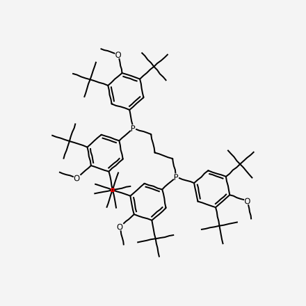 COc1c(C(C)(C)C)cc(P(CCCP(c2cc(C(C)(C)C)c(OC)c(C(C)(C)C)c2)c2cc(C(C)(C)C)c(OC)c(C(C)(C)C)c2)c2cc(C(C)(C)C)c(OC)c(C(C)(C)C)c2)cc1C(C)(C)C